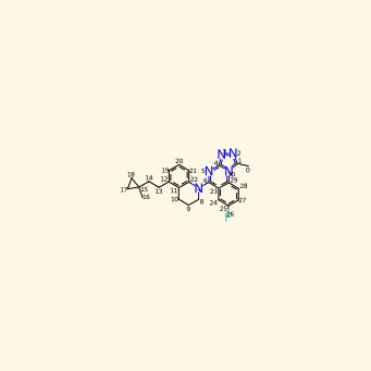 Cc1nnc2nc(N3CCCc4c(CCC5(C)CC5)cccc43)c3cc(F)ccc3n12